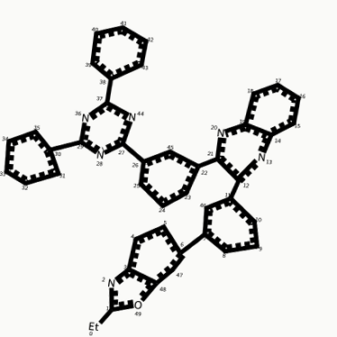 CCc1nc2ccc(-c3cccc(-c4nc5ccccc5nc4-c4cccc(-c5nc(-c6ccccc6)nc(-c6ccccc6)n5)c4)c3)cc2o1